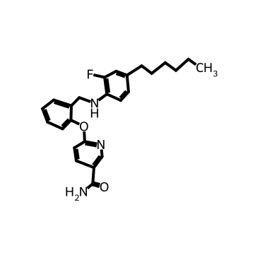 CCCCCCc1ccc(NCc2ccccc2Oc2ccc(C(N)=O)cn2)c(F)c1